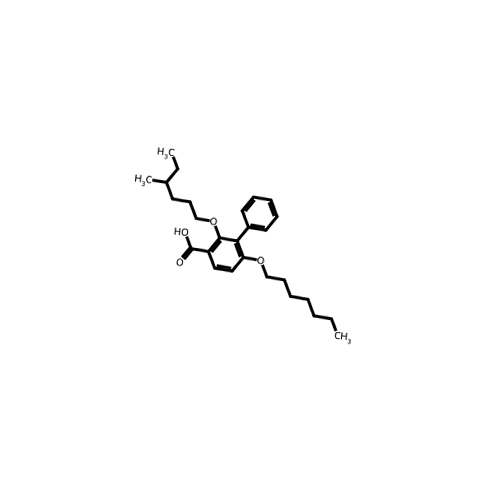 CCCCCCCOc1ccc(C(=O)O)c(OCCCC(C)CC)c1-c1ccccc1